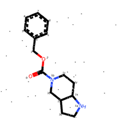 O=C(OCc1ccccc1)N1CCC2NCCC2C1